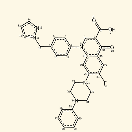 O=C(O)c1cn(-c2ccc(Cn3nccn3)cc2)c2cc(N3CCN(c4ccccc4)CC3)c(F)cc2c1=O